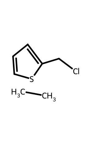 CC.ClCc1cccs1